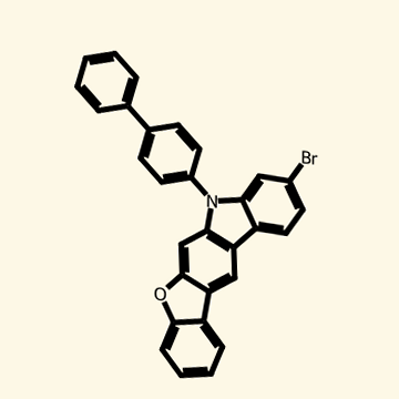 Brc1ccc2c3cc4c(cc3n(-c3ccc(-c5ccccc5)cc3)c2c1)oc1ccccc14